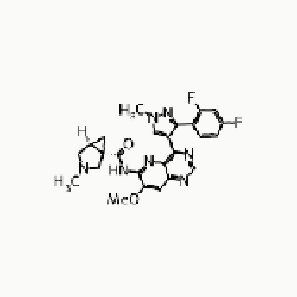 COc1cc2ncnc(-c3cn(C)nc3-c3ccc(F)cc3F)c2nc1NC(=O)[C@@]12C[C@@H]1CN(C)C2